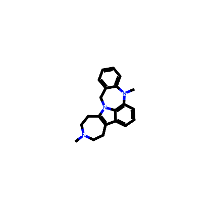 CN1CCc2c(n3c4c(cccc24)N(C)c2ccccc2C3)CC1